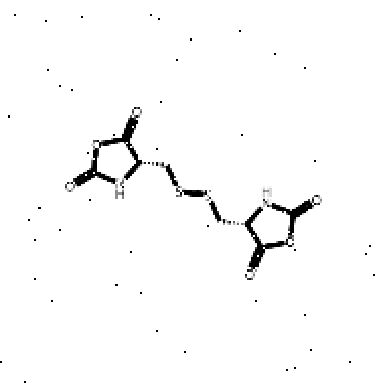 O=C1N[C@@H](CSSC[C@@H]2NC(=O)OC2=O)C(=O)O1